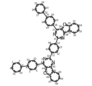 c1ccc(-c2ccc(-c3nc(-c4ccc(-c5nc(-c6ccc(-c7ccccc7)cc6)c6oc7ccccc7c6n5)cc4)nc4c3oc3ccccc34)cc2)cc1